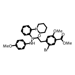 COC(=O)c1cc(Br)c(CC(=O)N(Nc2ccc(OC)cc2)c2ccccc2N2CCCCC2)cc1OC